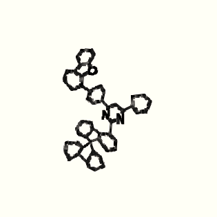 c1ccc(-c2cc(-c3ccc(-c4cccc5c4oc4ccccc45)cc3)nc(-c3cccc4c3-c3ccccc3C43c4ccccc4-c4ccccc43)n2)cc1